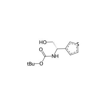 CC(C)(C)OC(=O)N[C@H](CO)c1ccsc1